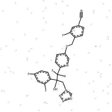 N#Cc1ccc(COc2ccc(C(F)(F)C(O)(Cn3cnnn3)c3ccc(F)cc3F)nc2)c(F)c1